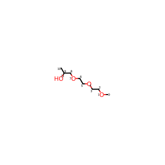 COCCOCCOCC(C)O